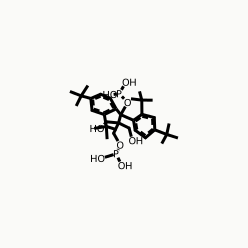 CC(C)(C)c1ccc(C(OP(O)O)(c2ccc(C(C)(C)C)cc2C(C)(C)C)C(CO)(CO)COP(O)O)c(C(C)(C)C)c1